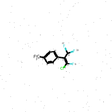 FC(Cl)=C(c1ccc(C(F)(F)F)cc1)C(F)F